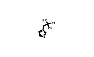 OC(P)(P)Cn1ccnc1